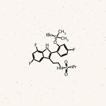 CCCS(=O)(=O)NCCc1c(-c2ccc(F)cc2O[Si](C)(C)C(C)(C)C)[nH]c2c(F)cc(F)cc12